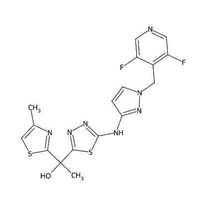 Cc1csc(C(C)(O)c2nnc(Nc3ccn(Cc4c(F)cncc4F)n3)s2)n1